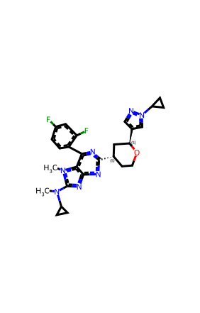 CN(c1nc2nc([C@H]3CCO[C@H](c4cnn(C5CC5)c4)C3)nc(-c3ccc(F)cc3F)c2n1C)C1CC1